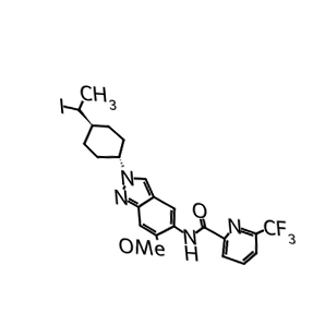 COc1cc2nn([C@H]3CC[C@H](C(C)I)CC3)cc2cc1NC(=O)c1cccc(C(F)(F)F)n1